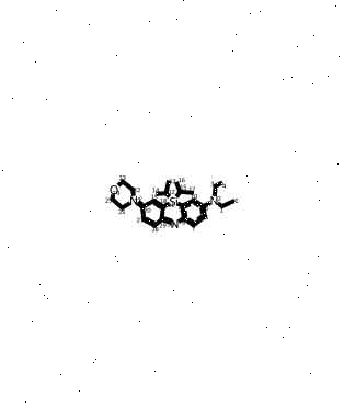 CCN(CC)c1ccc2c(c1)[Si](C(C)C)(C(C)C)C1=CC(=[N+]3CCOCC3)C=CC1=N2